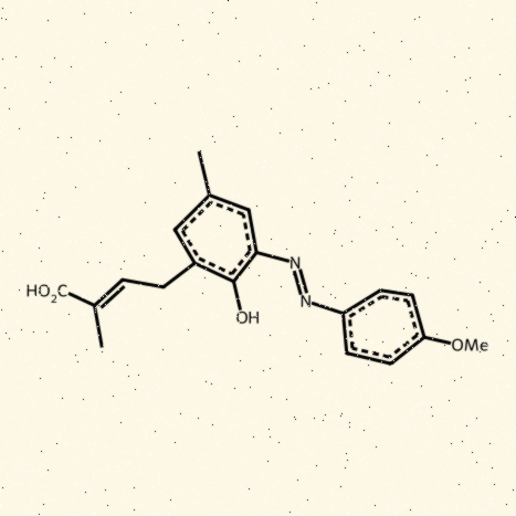 COc1ccc(N=Nc2cc(C)cc(CC=C(C)C(=O)O)c2O)cc1